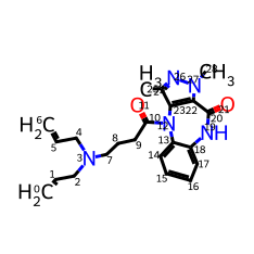 C=CCN(CC=C)CCCC(=O)N1c2ccccc2NC(=O)c2c1c(C)nn2C